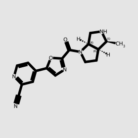 C[C@@H]1NC[C@H]2[C@@H]1CCN2C(=O)c1ncc(-c2ccnc(C#N)c2)o1